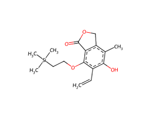 C=Cc1c(O)c(C)c2c(c1OCC[Si](C)(C)C)C(=O)OC2